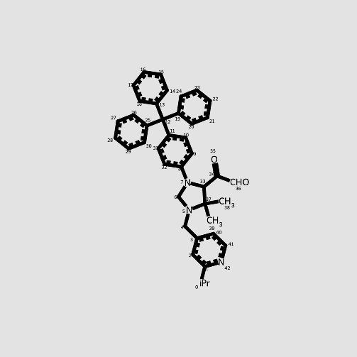 CC(C)c1cc(CN2CN(c3ccc(C(c4ccccc4)(c4ccccc4)c4ccccc4)cc3)C(C(=O)C=O)C2(C)C)ccn1